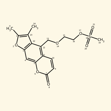 Cc1oc2cc3oc(=O)ccc3c(COCCOS(C)(=O)=O)c2c1C